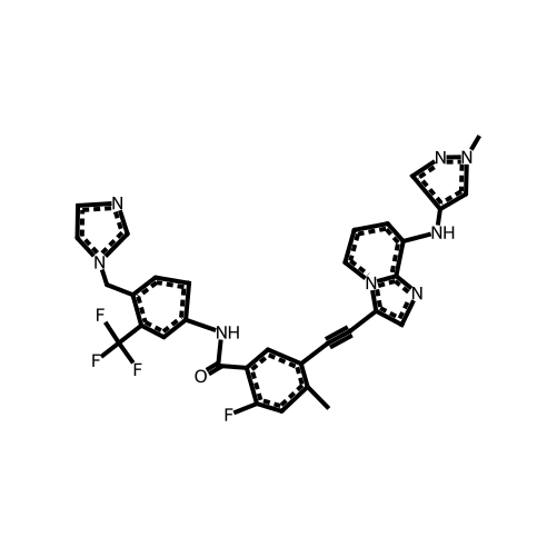 Cc1cc(F)c(C(=O)Nc2ccc(Cn3ccnc3)c(C(F)(F)F)c2)cc1C#Cc1cnc2c(Nc3cnn(C)c3)cccn12